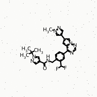 Cn1cc(-c2cc3c(-c4ccc(CNC(=O)c5cnn(C(C)(C)C)c5)c(C(F)F)c4)ncnn3c2)cn1